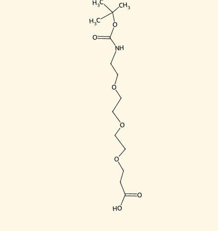 CC(C)(C)OC(=O)NCCOCCOCCOCCC(=O)O